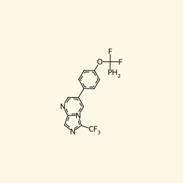 FC(F)(P)Oc1ccc(-c2cnc3cnc(C(F)(F)F)n3c2)cc1